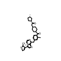 Cc1cc(Cc2nccn3c(C4=CCN=C4C(F)(F)F)cnc23)ccc1C(=O)C1CCC(CC(=O)[C@H]2CC[C@H](C)C2)CC1